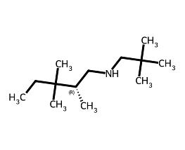 CCC(C)(C)[C@@H](C)CNCC(C)(C)C